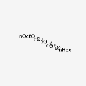 CCCCCCCCOCCOCCOCCOCCOCCCCCC